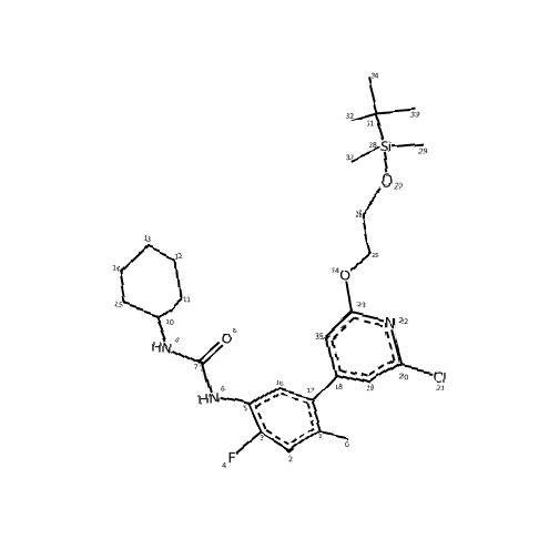 Cc1cc(F)c(NC(=O)NC2CCCCC2)cc1-c1cc(Cl)nc(OCCO[Si](C)(C)C(C)(C)C)c1